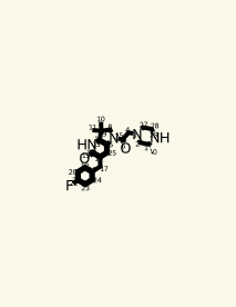 C[C@@H]1CN(CC(=O)N2CC(C)(C)c3[nH]c(=O)c(Cc4ccc(F)cc4)cc32)CCN1